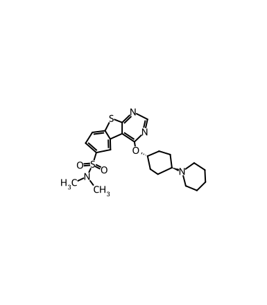 CN(C)S(=O)(=O)c1ccc2sc3ncnc(O[C@H]4CC[C@H](N5CCCCC5)CC4)c3c2c1